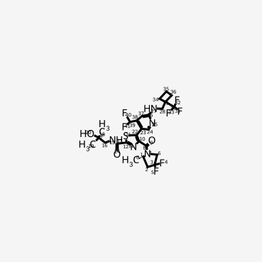 C[C@H]1CC(F)(F)CN1C(=O)c1nc(C(=O)NCC(C)(C)O)sc1-c1cnc(NCC2(C(F)(F)F)CCC2)cc1C(F)F